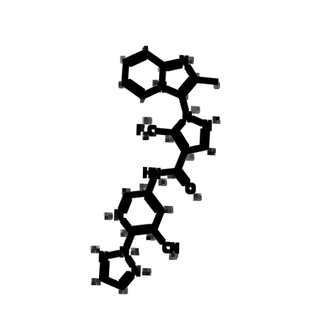 Cc1nc2ccccn2c1-n1ncc(C(=O)Nc2cnc(-n3nccn3)c(C#N)c2)c1C(F)(F)F